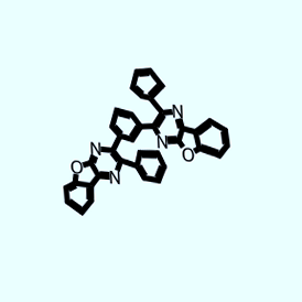 c1ccc(-c2nc3c(nc2-c2cccc(-c4nc5oc6ccccc6c5nc4-c4ccccc4)c2)oc2ccccc23)cc1